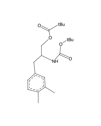 Cc1ccc(CC(COC(=O)C(C)(C)C)NC(=O)OC(C)(C)C)cc1C